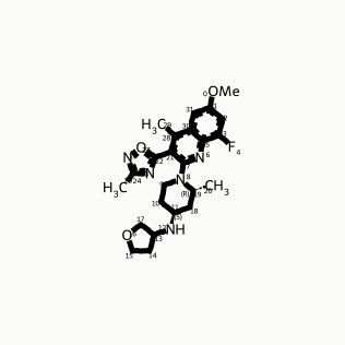 COc1cc(F)c2nc(N3CC[C@H](NC4CCOC4)C[C@H]3C)c(-c3nc(C)no3)c(C)c2c1